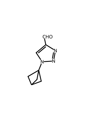 O=Cc1cn(C23CC(C2)C3)nn1